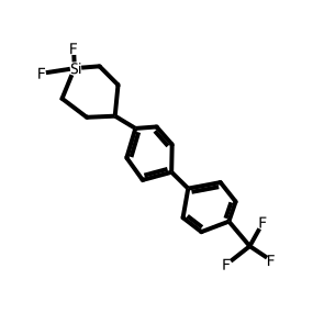 FC(F)(F)c1ccc(-c2ccc(C3CC[Si](F)(F)CC3)cc2)cc1